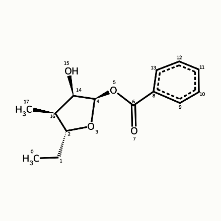 CC[C@H]1O[C@H](OC(=O)c2ccccc2)[C@H](O)[C@@H]1C